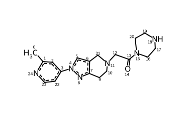 Cc1cc(-n2cc3c(n2)CCN(CC(=O)N2CCNCC2)C3)ccn1